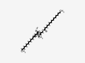 CCCCCCCCCCCCCCCC(=O)OCC(C[N+](C)(C)C)OC(=O)CCCCCCCCCCCCCCC.[I-]